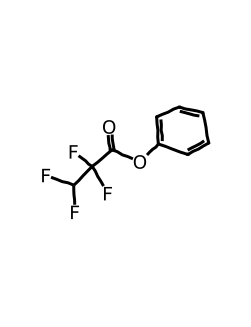 O=C(Oc1ccccc1)C(F)(F)C(F)F